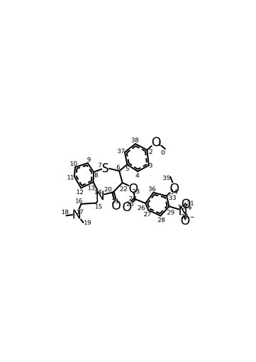 COc1ccc(C2Sc3ccccc3N(CCN(C)C)C(=O)C2OC(=O)c2ccc([N+](=O)[O-])c(OC)c2)cc1